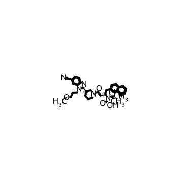 COCCCn1c([C@@H]2CCCN(C(=O)C[C@@H](Cc3ccc4ccccc4c3)N(C(=O)O)C(C)(C)C)C2)nc2ccc(C#N)cc21